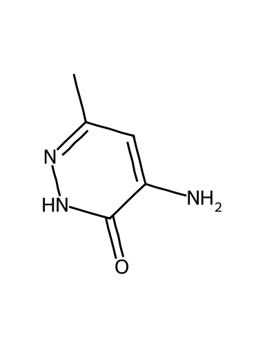 Cc1cc(N)c(=O)[nH]n1